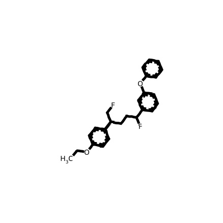 CCOc1ccc(C(CF)CCC(F)c2cccc(Oc3ccccc3)c2)cc1